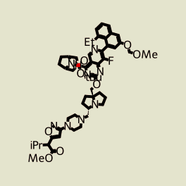 CCc1cccc2cc(OCOC)cc(-c3ncc4c(N5CC6CCC(C5)N6C(=O)OC(C)(C)C)nc(OC[C@@]56CCCN5[C@H](CN5CCN(c7cc(C(C(=O)OC)C(C)C)on7)CC5)CC6)nc4c3F)c12